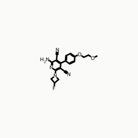 COCCOc1ccc(-c2c(C#N)c(N)nc(N3CC(F)C3)c2C#N)cc1